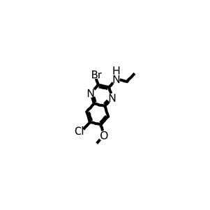 CCNc1nc2cc(OC)c(Cl)cc2nc1Br